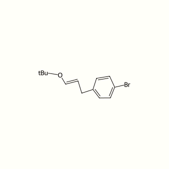 CC(C)(C)OC=CCc1ccc(Br)cc1